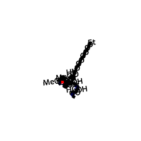 C=C/C=C/[C@@H](C)C[C@@H](C)C(=O)[C@H](O)[C@H](O)/C(C)=C/[C@@H](C)[C@H](O)C[C@H](OC(=O)[C@@H]1CCCCN1C(=O)C(=O)[C@]1(O)O[C@H](C[C@H](OC)/C(C)=C/C)CC[C@H]1C)[C@H](N)C[C@@H]1CC[C@@H](OC(=O)NCCOCCOCCOCCOCCOCCOCCOCC)[C@H](OC)C1